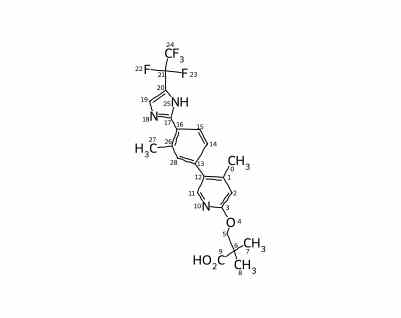 Cc1cc(OCC(C)(C)C(=O)O)ncc1-c1ccc(-c2ncc(C(F)(F)C(F)(F)F)[nH]2)c(C)c1